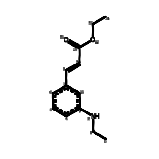 CCNc1cccc(C=CC(=O)OCC)c1